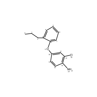 CCCc1ccccc1Oc1ccc(N)c(Cl)c1